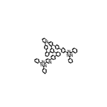 c1ccc(-c2nc(-c3ccccc3)nc(-c3ccc(-c4ccc(-c5ccccc5-c5cc(-c6ccccc6-c6ccc(-c7ccccn7)cc6)cc(-c6ccccc6-c6ccc(-c7ccc(-c8nc(-c9ccccc9)nc(-c9ccccc9)n8)cn7)cc6)c5)cc4)cc3)n2)cc1